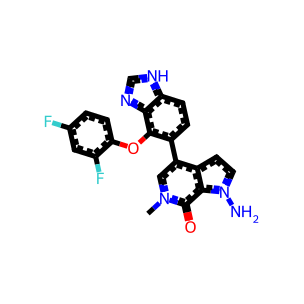 Cn1cc(-c2ccc3[nH]cnc3c2Oc2ccc(F)cc2F)c2ccn(N)c2c1=O